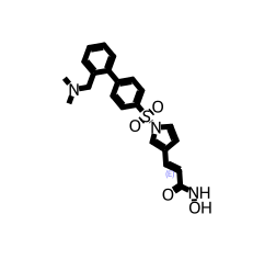 CN(C)Cc1ccccc1-c1ccc(S(=O)(=O)n2ccc(/C=C/C(=O)NO)c2)cc1